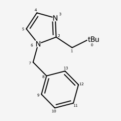 CC(C)(C)Cc1nccn1Cc1ccccc1